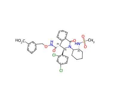 CS(=O)(=O)N[C@@H]1CCCCC1N1C(=O)c2ccccc2[C@@H](C(=O)NOCc2cccc(C(=O)O)c2)[C@@H]1c1ccc(Cl)cc1Cl